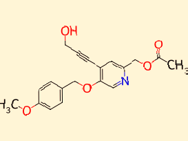 COc1ccc(COc2cnc(COC(C)=O)cc2C#CCO)cc1